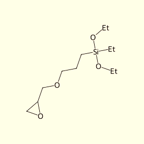 CCO[Si](CC)(CCCOCC1CO1)OCC